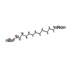 CCCCCCCCCCCCCCCCCCC[CH]SCCCC